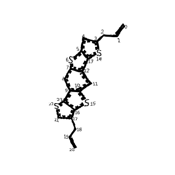 C=CCc1cc2sc3cc4c(cc3c2s1)sc1c(CC=C)csc14